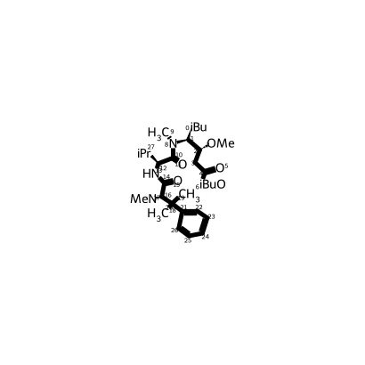 CC[C@H](C)[C@@H]([C@@H](CC(=O)OCC(C)C)OC)N(C)C(=O)[C@@H](NC(=O)[C@@H](NC)C(C)(C)c1ccccc1)C(C)C